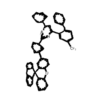 CC1C=C(c2cc(-c3ccccc3)nc(-c3cccc(-c4ccc5c(c4)C4(c6ccccc6O5)c5ccccc5-c5ccccc54)c3)n2)C(c2ccccc2)=CC1